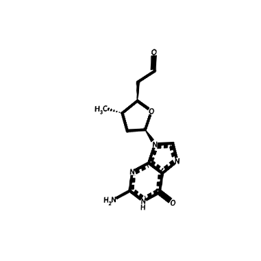 C[C@H]1C[C@H](n2cnc3c(=O)[nH]c(N)nc32)O[C@@H]1CC=O